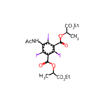 CCOC(=O)C(C)OC(=O)c1c(I)c(NC(C)=O)c(I)c(C(=O)OC(C)C(=O)OCC)c1I